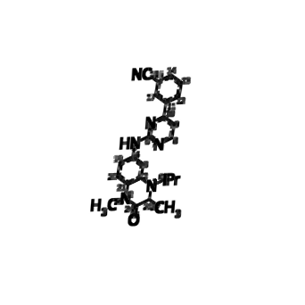 CC(C)N1c2cc(Nc3nccc(-c4cccc(C#N)c4)n3)ccc2N(C)C(=O)C1C